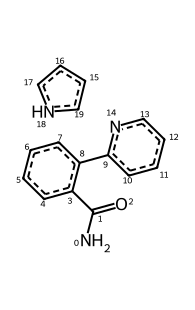 NC(=O)c1ccccc1-c1ccccn1.c1cc[nH]c1